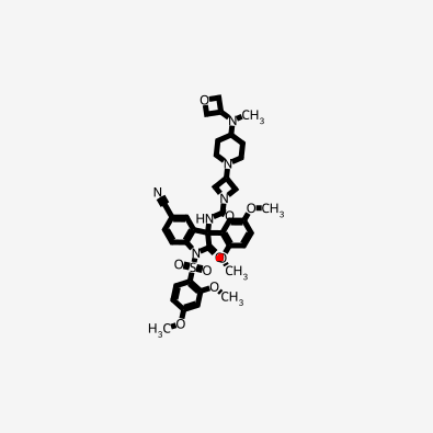 COc1ccc(S(=O)(=O)N2C(=O)C(NC(=O)N3CC(N4CCC(N(C)C5COC5)CC4)C3)(c3cc(OC)ccc3OC)c3cc(C#N)ccc32)c(OC)c1